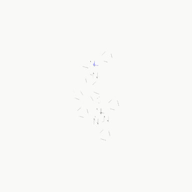 C=C(/N=C(\C)c1ccccc1)c1ccc(-c2csc(C)c2-c2c(-c3cccc(-c4nc(-c5ccccc5)nc(-c5ccccc5)n4)c3)csc2C)cn1